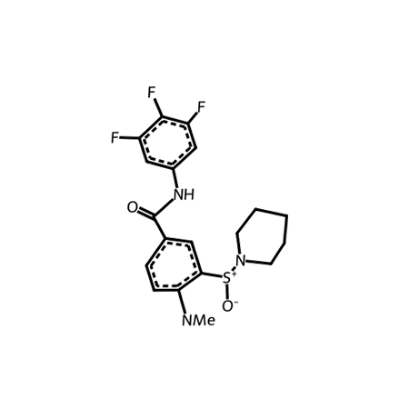 CNc1ccc(C(=O)Nc2cc(F)c(F)c(F)c2)cc1[S+]([O-])N1CCCCC1